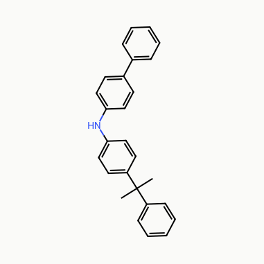 CC(C)(c1ccccc1)c1ccc(Nc2ccc(-c3ccccc3)cc2)cc1